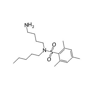 CCCCCN(CCCCN)S(=O)(=O)c1c(C)cc(C)cc1C